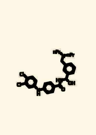 CCCN(CCC)Cc1cccc(C(O)NC(=O)c2ccc(Nc3ccc(Cl)c(Cl)c3)cc2)c1